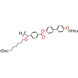 CCCCCCCCCCCCCCCCOC(C)c1ccc(C(=O)Oc2ccc(-c3ccc(OCCCCCC)cc3)cc2)cc1